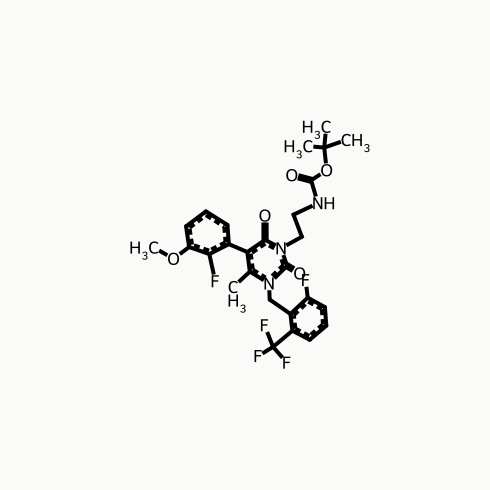 COc1cccc(-c2c(C)n(Cc3c(F)cccc3C(F)(F)F)c(=O)n(CCNC(=O)OC(C)(C)C)c2=O)c1F